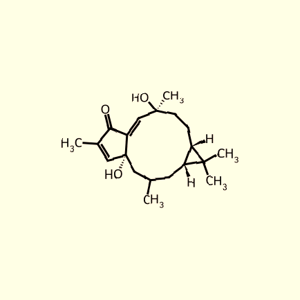 CC1=C[C@]2(O)CC(C)C[C@@H]3[C@H](CC[C@](C)(O)/C=C\2C1=O)C3(C)C